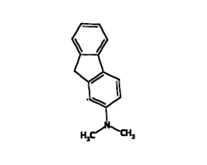 CN(C)c1[c]c2c(cc1)-c1ccccc1C2